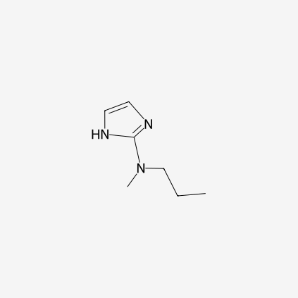 CCCN(C)c1ncc[nH]1